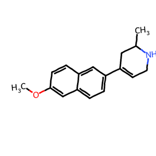 COc1ccc2cc(C3=CCNC(C)C3)ccc2c1